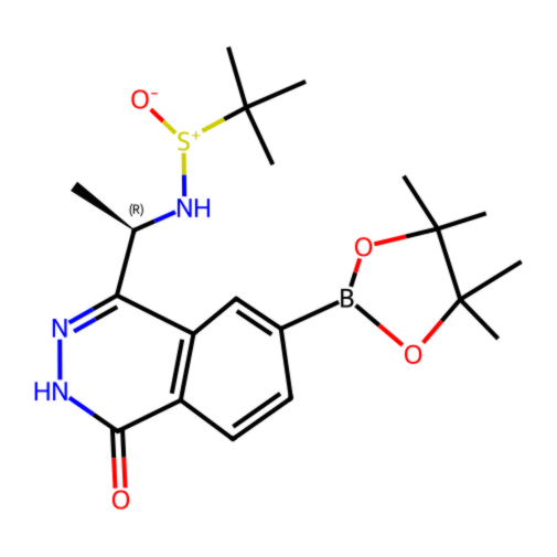 C[C@@H](N[S+]([O-])C(C)(C)C)c1n[nH]c(=O)c2ccc(B3OC(C)(C)C(C)(C)O3)cc12